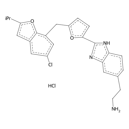 CC(C)c1cc2cc(Cl)cc(Cc3ccc(-c4nc5cc(CCN)ccc5[nH]4)o3)c2o1.Cl